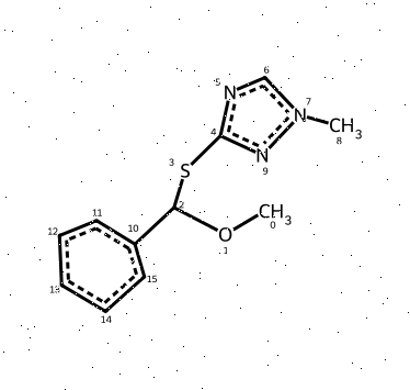 COC(Sc1ncn(C)n1)c1ccccc1